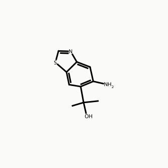 CC(C)(O)c1cc2scnc2cc1N